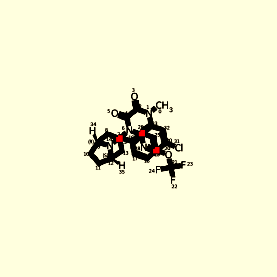 Cn1c(=O)c(=O)n(C2C[C@H]3CC[C@@H](C2)N3Cc2ccc(OC(F)(F)F)cc2)c2ncc(Cl)cc21